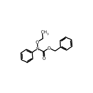 CCON(C(=O)OCc1ccccc1)c1ccccc1